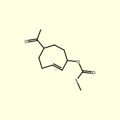 CSC(=O)OC1/C=C/CCC(C(C)=O)CC1